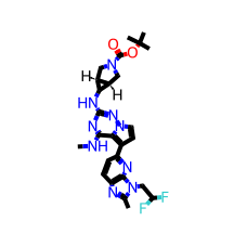 CNc1nc(NC2[C@H]3CN(C(=O)OC(C)(C)C)C[C@@H]23)nn2ccc(-c3ccc4nc(C)n(CC(F)F)c4n3)c12